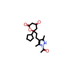 CC(=O)n1nc(C)c(CCC2(C3CCCC3)CC(=O)CC(=O)O2)c1C